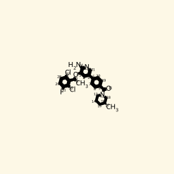 CC(Oc1cc(-c2ccc(C(=O)N3CCC[C@H](C)C3)cc2)cnc1N)c1c(Cl)ccc(F)c1Cl